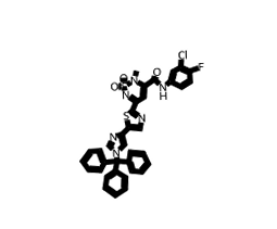 CN1C(C(=O)Nc2ccc(F)c(Cl)c2)=CC(c2ncc(-c3cn(C(c4ccccc4)(c4ccccc4)c4ccccc4)cn3)s2)=NS1(=O)=O